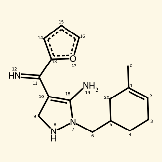 CC1=CCCC(CN2NCC(C(=N)c3ccco3)=C2N)C1